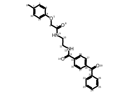 Cc1ccc(OCC(=O)NCCNC(=O)c2ccc(C(=O)c3ccccc3)cc2)cc1